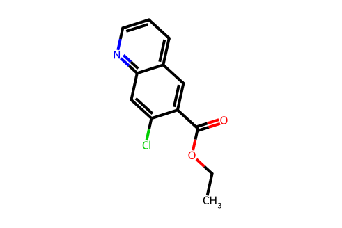 CCOC(=O)c1cc2cccnc2cc1Cl